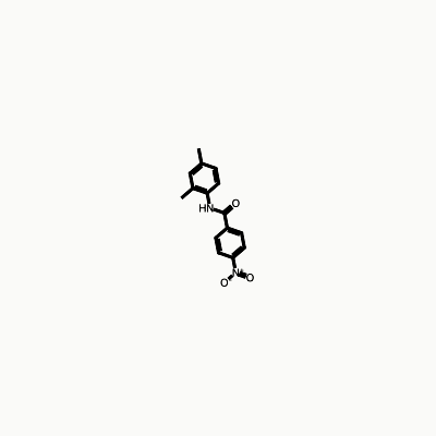 Cc1ccc(NC(=O)c2ccc([N+](=O)[O-])cc2)c(C)c1